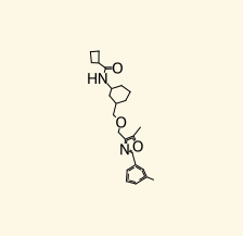 Cc1cccc(-c2nc(COCC3CCCC(NC(=O)C4CCC4)C3)c(C)o2)c1